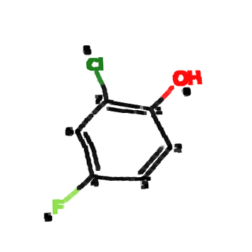 Oc1c[c]c(F)cc1Cl